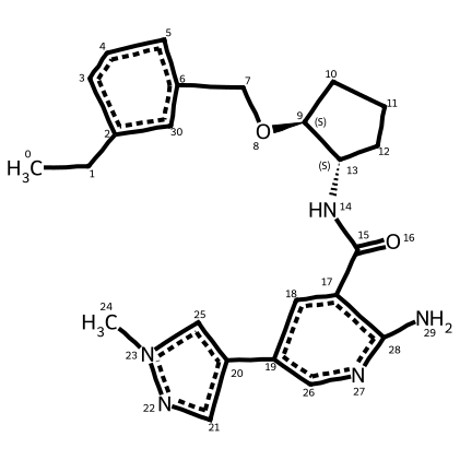 CCc1cccc(CO[C@H]2CCC[C@@H]2NC(=O)c2cc(-c3cnn(C)c3)cnc2N)c1